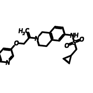 C=C(COc1cccnc1)N1CCc2cc(NS(=O)(=O)CC3CC3)ccc2C1